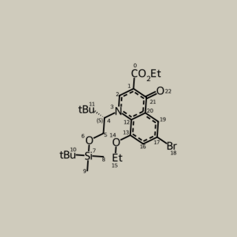 CCOC(=O)c1cn([C@H](CO[Si](C)(C)C(C)(C)C)C(C)(C)C)c2c(OCC)cc(Br)cc2c1=O